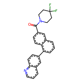 O=C(c1ccc2c(-c3ccc4ncccc4c3)cccc2c1)N1CCC(F)(F)CC1